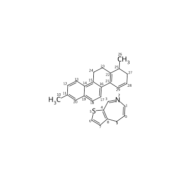 C1=CN=Cc2sccc2C1.Cc1ccc2c3c(ccc2c1)C1=C(CC3)C(C)CC=C1